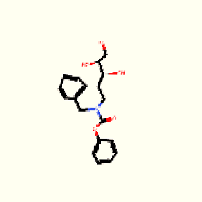 O=C(Oc1ccccc1)N(CC[C@H](O)[C@@H](O)CO)Cc1ccccc1